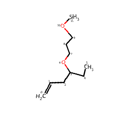 C=CCC(CC)OCCCO[SiH3]